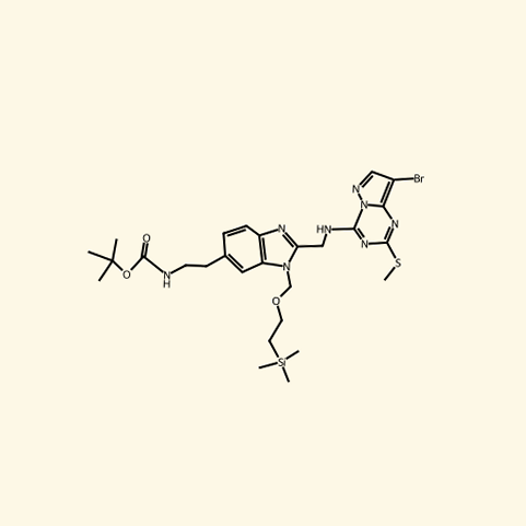 CSc1nc(NCc2nc3ccc(CCNC(=O)OC(C)(C)C)cc3n2COCC[Si](C)(C)C)n2ncc(Br)c2n1